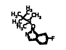 CC(C)(C)[Si](C)(C)On1ncc2ccc(F)cc21